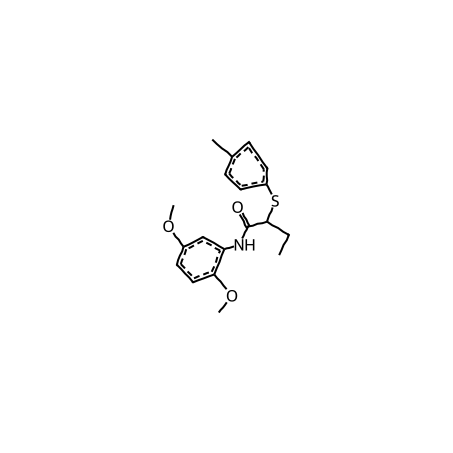 CCC(Sc1ccc(C)cc1)C(=O)Nc1cc(OC)ccc1OC